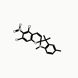 Cc1ccc2c(c1)C(C)(C)C1(C=Cc3c(cc(Cl)c([N+](=O)[O-])c3Cl)O1)N2C